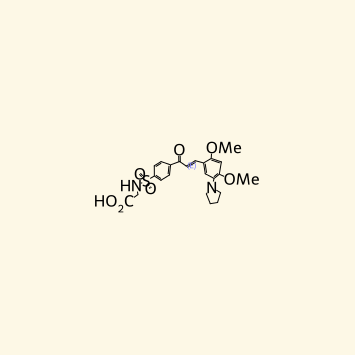 COc1cc(OC)c(N2CCCC2)cc1/C=C/C(=O)c1ccc(S(=O)(=O)NCC(=O)O)cc1